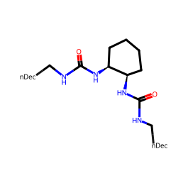 CCCCCCCCCCCNC(=O)N[C@H]1CCCC[C@H]1NC(=O)NCCCCCCCCCCC